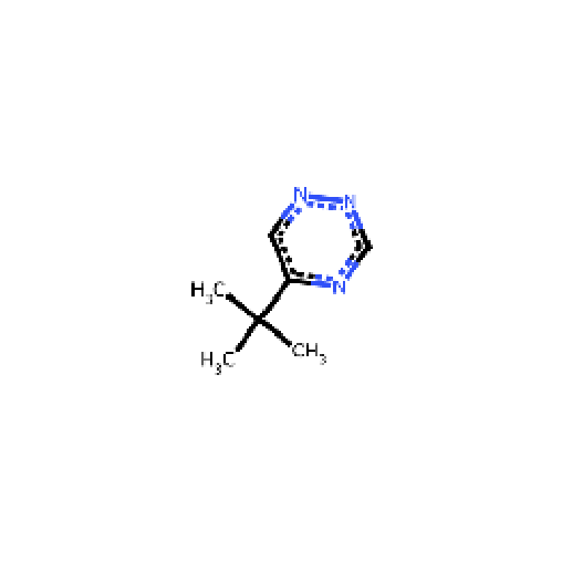 CC(C)(C)c1cnncn1